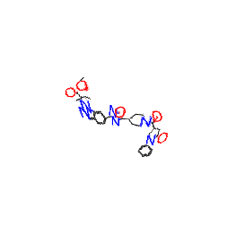 CCOC(=O)C(C)(C)n1ncc2ccc(-c3noc(C4CCN(C(=O)C5CC(=O)N(c6ccccc6)C5)CC4)n3)cc21